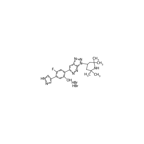 Br.Br.CC1(C)CC(n2nnc3cc(-c4cc(F)c(-c5cn[nH]c5)cc4O)nnc32)CC(C)(C)N1